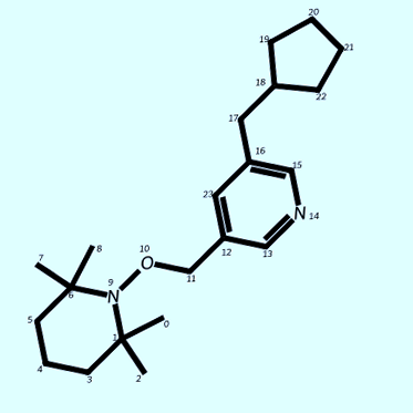 CC1(C)CCCC(C)(C)N1OCc1cncc(CC2CCCC2)c1